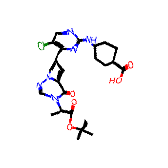 CC(C(=O)OC(C)(C)C)n1cnn2cc(-c3nc(NC4CCC(C(=O)O)CC4)ncc3Cl)cc2c1=O